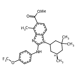 COC(=O)c1ccc2c(nc(Nc3ccc(OC(F)(F)F)cc3)n2C2C[C@H](C)CC(C)(C)C2)c1C